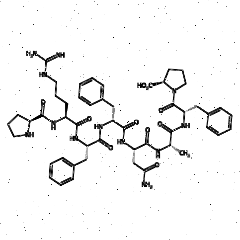 C[C@H](NC(=O)[C@H](CC(N)=O)NC(=O)[C@@H](Cc1ccccc1)NC(=O)[C@H](Cc1ccccc1)NC(=O)[C@H](CCCNC(=N)N)NC(=O)[C@@H]1CCCN1)C(=O)N[C@@H](Cc1ccccc1)C(=O)N1CCC[C@@H]1C(=O)O